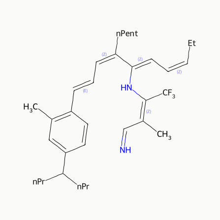 CC\C=C/C=C(N/C(=C(/C)C=N)C(F)(F)F)/C(=C\C=C\c1ccc(C(CCC)CCC)cc1C)CCCCC